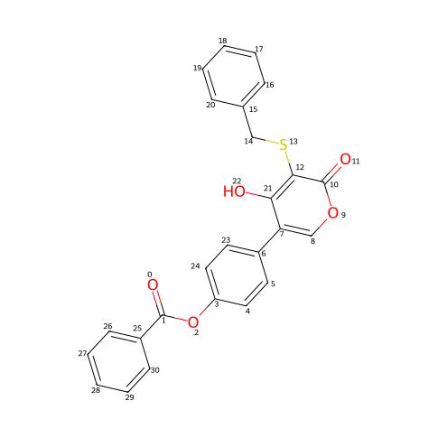 O=C(Oc1ccc(-c2coc(=O)c(SCc3ccccc3)c2O)cc1)c1ccccc1